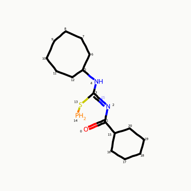 O=C(/N=C(/NC1CCCCCCC1)SP)C1CCCCC1